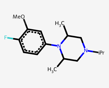 COc1cc(N2C(C)CN(C(C)C)CC2C)ccc1F